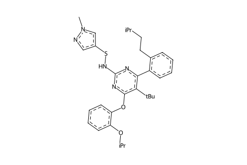 CC(C)CCc1ccccc1-c1nc(NSc2cnn(C)c2)nc(Oc2ccccc2OC(C)C)c1C(C)(C)C